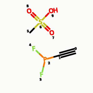 C#CP(F)F.CS(=O)(=O)O